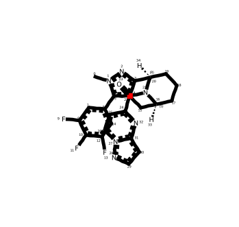 Cn1nc2c(c1-c1cc(F)c(F)c(F)c1)C[C@@H]1CCC[C@H]2N1C(=O)c1ccn2nccc2n1